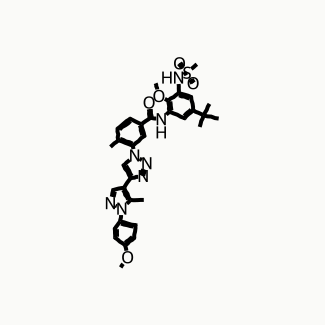 COc1ccc(-n2ncc(-c3cn(-c4cc(C(=O)Nc5cc(C(C)(C)C)cc(NS(C)(=O)=O)c5OC)ccc4C)nn3)c2C)cc1